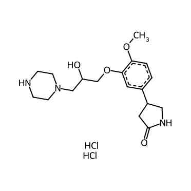 COc1ccc(C2CNC(=O)C2)cc1OCC(O)CN1CCNCC1.Cl.Cl